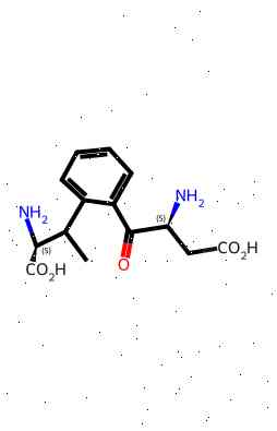 [CH2]C(c1ccccc1C(=O)[C@@H](N)CC(=O)O)[C@H](N)C(=O)O